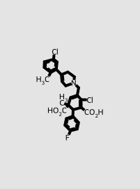 Cc1ccc(Cl)cc1C1=CCN(CC2=CC(C)(C(=O)O)C(c3ccc(F)cc3)C(C(=O)O)=C2Cl)CC1